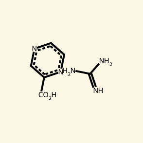 N=C(N)N.O=C(O)c1cnccn1